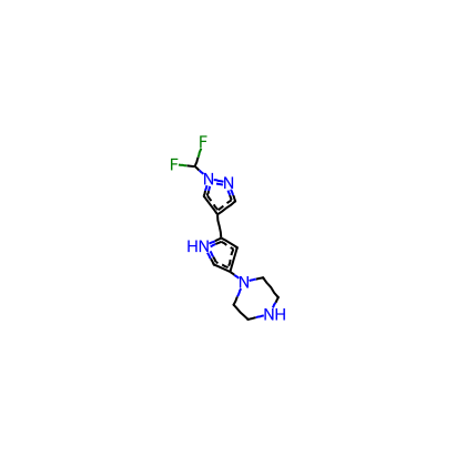 FC(F)n1cc(-c2cc(N3CCNCC3)c[nH]2)cn1